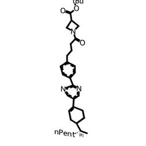 CCCCC[C@@H](C)C1CC=C(c2cnc(-c3ccc(CCCC(=O)N4CC(C(=O)OC(C)(C)C)C4)cc3)nc2)CC1